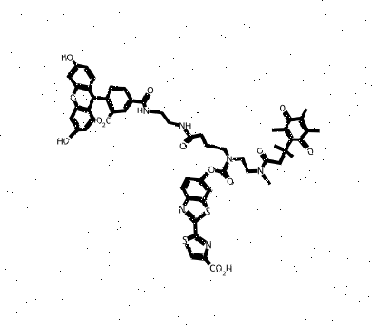 CC1=C(C)C(=O)C(C(C)(C)CC(=O)N(C)CCN(CCCC(=O)NCCNC(=O)c2ccc(C3c4ccc(O)cc4Oc4cc(O)ccc43)c(C(=O)O)c2)C(=O)Oc2ccc3nc(-c4nc(C(=O)O)cs4)sc3c2)=C(C)C1=O